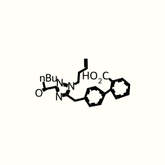 C=CCCn1nc(C(=O)CCCC)nc1Cc1ccc(-c2ccccc2C(=O)O)cc1